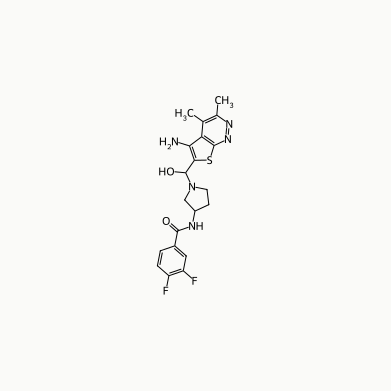 Cc1nnc2sc(C(O)N3CCC(NC(=O)c4ccc(F)c(F)c4)C3)c(N)c2c1C